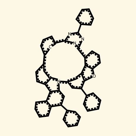 c1ccc(-c2nc3nc(n2)c2cccc4oc5c(-c6ccccc6)cc(cc5c42)n2c4cc(ccc4c4c5ccccc5c(-c5ccccc5)cc42)c2cccc3c2)cc1